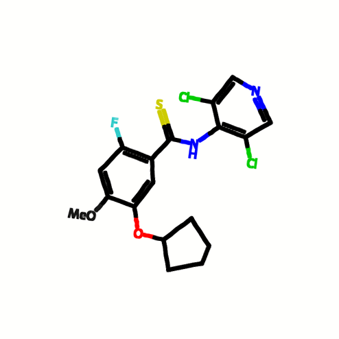 COc1cc(F)c(C(=S)Nc2c(Cl)cncc2Cl)cc1OC1CCCC1